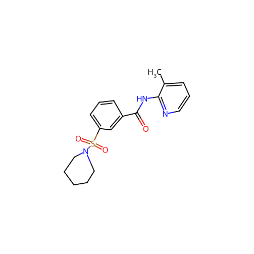 Cc1cccnc1NC(=O)c1cccc(S(=O)(=O)N2CCCCC2)c1